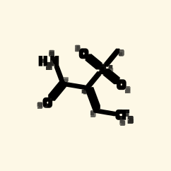 CS(=O)(=O)C(=CC(F)(F)F)C(N)=O